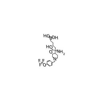 NC(CCCCB(O)O)(C(=O)O)C1CCN(Cc2ccc(OC(F)(F)F)cc2)CC1